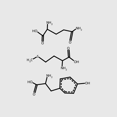 CSCCC(N)C(=O)O.NC(=O)CCC(N)C(=O)O.NC(Cc1ccc(O)cc1)C(=O)O